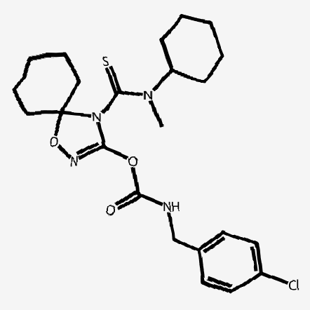 CN(C(=S)N1C(OC(=O)NCc2ccc(Cl)cc2)=NOC12CCCCC2)C1CCCCC1